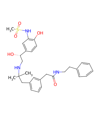 CC(C)(Cc1cccc(CC(=O)NCCc2ccccc2)c1)NC[C@H](O)c1ccc(O)c(NS(C)(=O)=O)c1